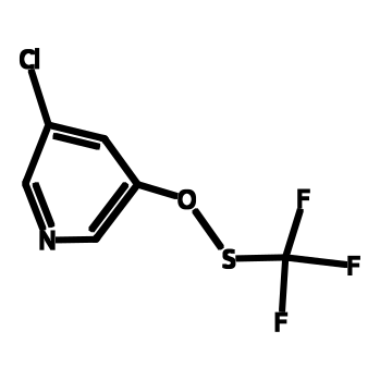 FC(F)(F)SOc1cncc(Cl)c1